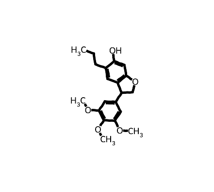 CCCc1cc2c(cc1O)OCC2c1cc(OC)c(OC)c(OC)c1